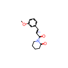 COc1cccc(/C=C/C(=O)N2CCCCC2=O)c1